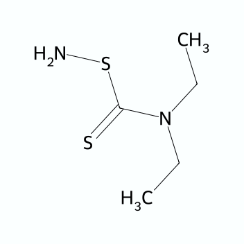 CCN(CC)C(=S)SN